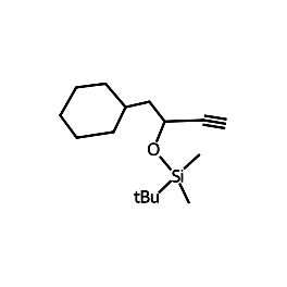 C#CC(CC1CCCCC1)O[Si](C)(C)C(C)(C)C